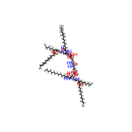 CCCCCCCCCCCCCC(=O)N[C@H](CNCC[C@@H](CCCCCCC)OC(=O)CCCCCCCCCCC)COP(=O)(O)OCCNC(=O)NCCOP(=O)(O)OC[C@@H](CNCC[C@@H](CCCCCCC)OC(=O)CCCCCCCCCCC)NC(=O)CCCCCCCCCCCCC